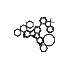 CC1(C)c2ccccc2-c2c(-c3cc4c5c6c(ncc5n5c7cnc8c(c7c(c3)c45)C3(CCCCC3)CCC83CCCCC3)C3(CCCCCCC6)CCCCC3)cccc21